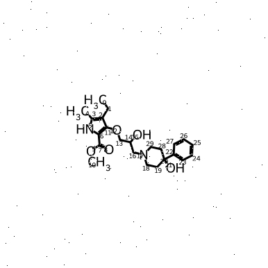 CCc1c(C)[nH]c(C(=O)OC)c1OCC(O)CN1CCC(O)(c2ccccc2)CC1